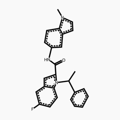 CC(c1ccccc1)n1c(C(=O)Nc2ccc3c(ccn3C)c2)cc2cc(F)ccc21